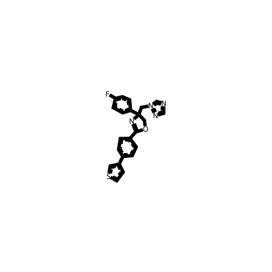 Fc1ccc(C2(Cn3cncn3)COC(c3ccc(-c4ccsc4)cc3)=N2)cc1